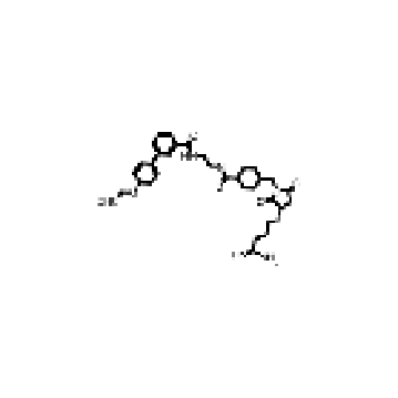 N=C(N)CCCSC1CC(=O)N(CC2CCC(C(=O)NCCNC(=O)c3cccc(-c4ccc(OCC=O)cc4)c3)CC2)C1=O